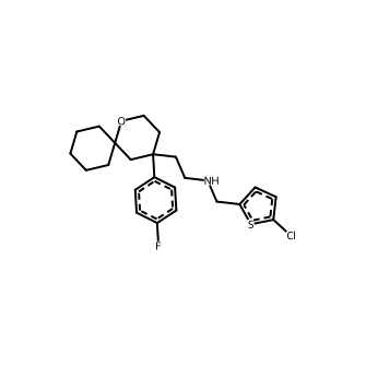 Fc1ccc(C2(CCNCc3ccc(Cl)s3)CCOC3(CCCCC3)C2)cc1